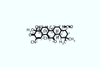 [C-]#[N+]C1=C[C@]2(C)C3=CC(=O)[C@@H]4[C@@H]5CC(C)(C)CC[C@]5(N=C=O)CC[C@@]4(C)[C@]3(C)CC[C@H]2C(C)(C)C1=O